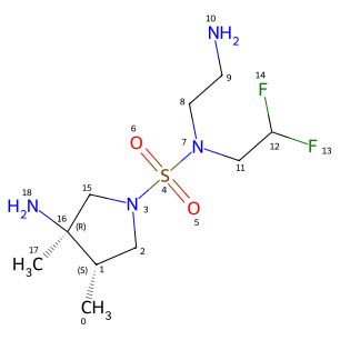 C[C@H]1CN(S(=O)(=O)N(CCN)CC(F)F)C[C@]1(C)N